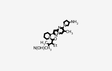 CCC(C(=O)N1CCCC[C@H]1c1cc2nc(N3CC[C@H](N)C3)c(C)cn2n1)C(C)N(C)O